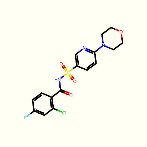 O=C(NS(=O)(=O)c1ccc(N2CCOCC2)nc1)c1ccc(F)cc1Cl